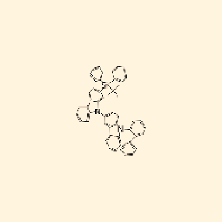 CC(C)(C)[Si](c1ccccc1)(c1ccccc1)c1ccc2c3ccccc3n(-c3ccc4c(c3)c3ccccc3n4-c3ccccc3-c3ccccc3)c2c1